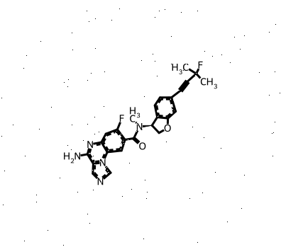 CN(C(=O)c1cc2c(cc1F)nc(N)c1cncn12)[C@@H]1COc2cc(C#CC(C)(C)F)ccc21